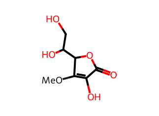 COC1=C(O)C(=O)OC1C(O)CO